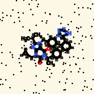 CC(C)c1nc2c(c(=O)n(C(C)c3ccccc3)c(=O)n2CC2CC2)n1Cc1ccc(-c2ccccc2-c2nnn[nH]2)cc1